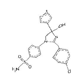 NS(=O)(=O)c1ccc(N2CC(O)(c3ccsc3)N=C2c2ccc(Cl)cc2)cc1